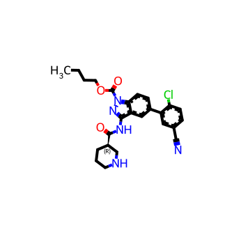 CCCCOC(=O)n1nc(NC(=O)[C@@H]2CCCNC2)c2cc(-c3cc(C#N)ccc3Cl)ccc21